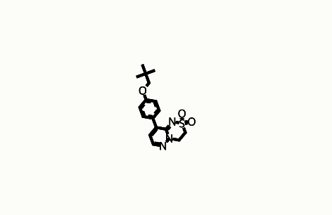 CC(C)(C)COc1ccc(C2=CC=NN3CCS(=O)(=O)N=C23)cc1